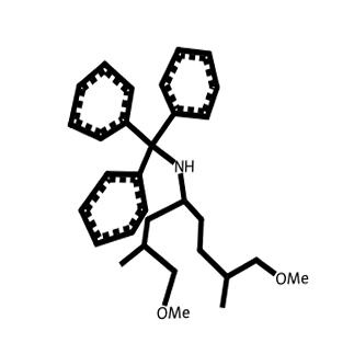 COCC(C)CCC(CC(C)COC)NC(c1ccccc1)(c1ccccc1)c1ccccc1